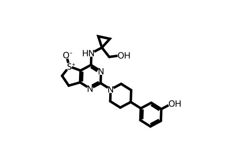 [O-][S+]1CCc2nc(N3CCC(c4cccc(O)c4)CC3)nc(NC3(CO)CC3)c21